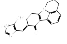 Cc1[nH]cnc1C=C1CCc2c(c3cccc4c3n2CCC4)C1=O